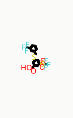 O=C(O)c1cc(SCc2cccc(C(F)(F)F)c2)cc(S(=O)(=O)C(F)(F)F)c1